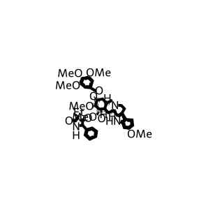 CCN1C(=O)NC(c2ccccc2)C1=O.COC(=O)[C@H]1[C@H]2C[C@@H]3c4[nH]c5cc(OC)ccc5c4CCN3C[C@H]2C[C@@H](OC(=O)c2cc(OC)c(OC)c(OC)c2)[C@@H]1OC